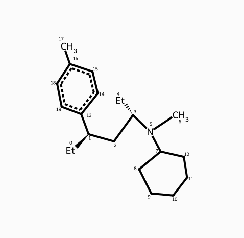 CC[C@H](C[C@H](CC)N(C)C1CCCCC1)c1ccc(C)cc1